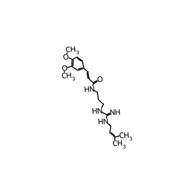 COc1ccc(C=CC(=O)NCCCNC(=N)NCC=C(C)C)cc1OC